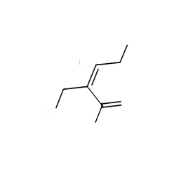 CC(C)CC=C(CC(C)C)C(=O)OCC(C)C.[SnH2]